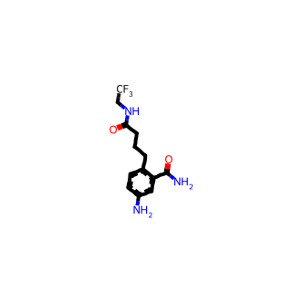 NC(=O)c1cc(N)ccc1CCCC(=O)NCC(F)(F)F